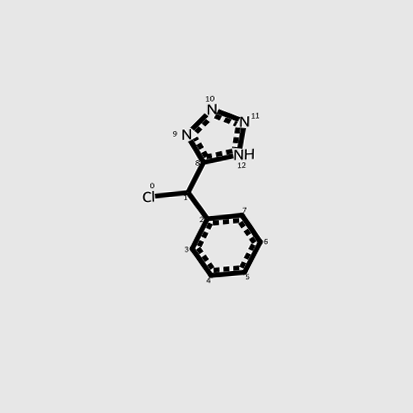 ClC(c1ccccc1)c1nnn[nH]1